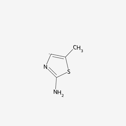 Cc1[c]nc(N)s1